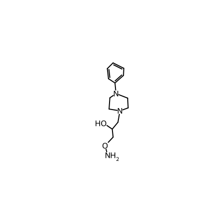 NOCC(O)CN1CCN(c2ccccc2)CC1